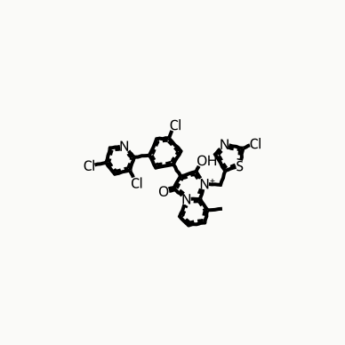 Cc1cccn2c(=O)c(-c3cc(Cl)cc(-c4ncc(Cl)cc4Cl)c3)c(O)[n+](Cc3cnc(Cl)s3)c12